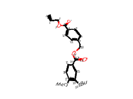 C=CCOC(=O)c1ccc(COC(=O)c2ccc(OC)c(C(C)(C)C)c2)cc1